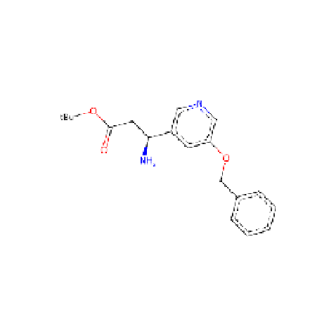 CC(C)(C)OC(=O)C[C@H](N)c1cncc(OCc2ccccc2)c1